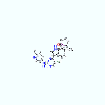 C[C@H]1CC[C@H](Nc2ncc(Cl)c(-c3c[nH]c4c(P5(=O)CCCC5)c(C#N)ccc34)n2)CN1